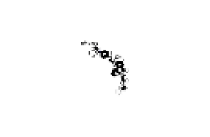 CCCCCCOC(=O)/N=C(\N)c1ccc(NCc2nc3cc(C(=O)N(CCC(=O)OCC(F)(F)C(F)(F)F)c4ccccn4)ccc3n2C)cc1